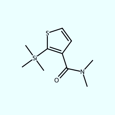 CN(C)C(=O)c1ccsc1[Si](C)(C)C